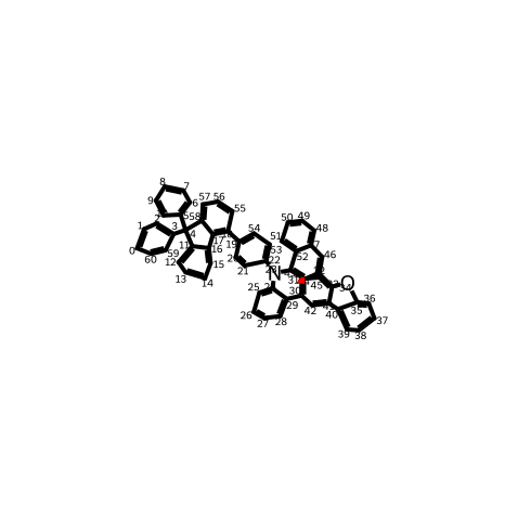 c1ccc(C2(c3ccccc3)c3ccccc3-c3c(-c4ccc(N(c5ccccc5-c5ccc6oc7ccccc7c6c5)c5cccc6ccccc56)cc4)cccc32)cc1